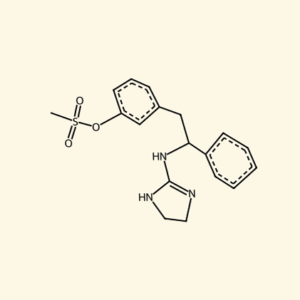 CS(=O)(=O)Oc1cccc(CC(NC2=NCCN2)c2ccccc2)c1